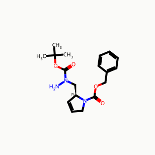 CC(C)(C)OC(=O)N(N)C[C@@H]1C=CCN1C(=O)OCc1ccccc1